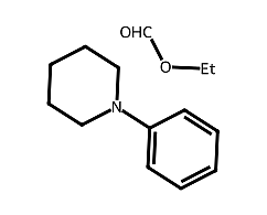 CCOC=O.c1ccc(N2CCCCC2)cc1